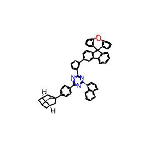 c1cc(-c2ccc3c(c2)-c2ccccc2C32c3ccccc3Oc3ccccc32)cc(-c2nc(-c3ccc(C45C[C@H]6CC7C[C@@H](C4)C76C5)cc3)nc(-c3cccc4ccccc34)n2)c1